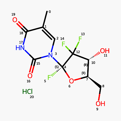 Cc1cn([C@]2(F)O[C@H](CO)[C@@H](O)C2(F)F)c(=O)[nH]c1=O.Cl